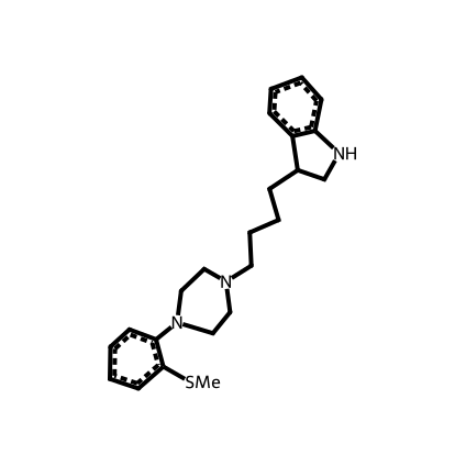 CSc1ccccc1N1CCN(CCCCC2CNc3ccccc32)CC1